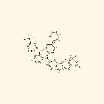 CC(C)(C)c1ccc2c(c1)sc1c(N(c3ccc(-c4ccccc4)cc3)c3ccc4sc5cc6c(cc5c4c3)C(C)(C)CC6(C)C)cccc12